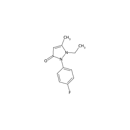 CCn1c(C)cc(=O)n1-c1ccc(F)cc1